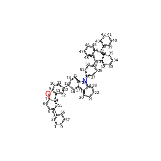 c1ccc(-c2ccc3oc4ccc(-c5ccc6c(c5)c5ccccc5n6-c5ccc(-c6c7ccccc7c(-c7ccccc7)c7ccccc67)cc5)cc4c3c2)cc1